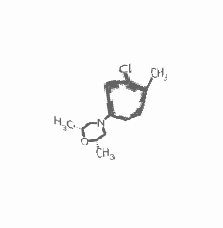 Cc1ccc(N2C[C@@H](C)O[C@@H](C)C2)cc1Cl